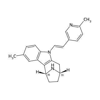 Cc1ccc2c(c1)c1c(n2C=Cc2ccc(C)nc2)C[C@@H]2CC[C@H]1N2